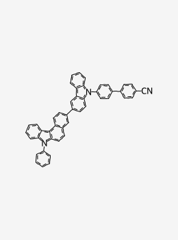 N#Cc1ccc(-c2ccc(-n3c4ccccc4c4cc(-c5ccc6c(ccc7c6c6ccccc6n7-c6ccccc6)c5)ccc43)cc2)cc1